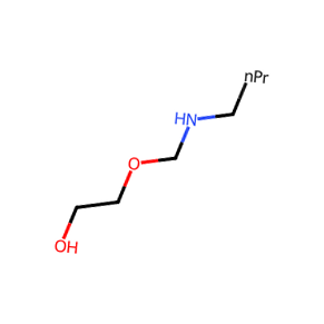 CCCCNCOCCO